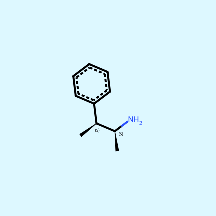 C[C@H](N)[C@@H](C)c1ccccc1